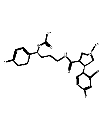 CCCC(=O)N[C@@H](CCCNC(=O)C1CN(C(C)(C)C)C[C@H]1C1C=CC(F)=CC1F)C1=CC=C(Cl)CC1